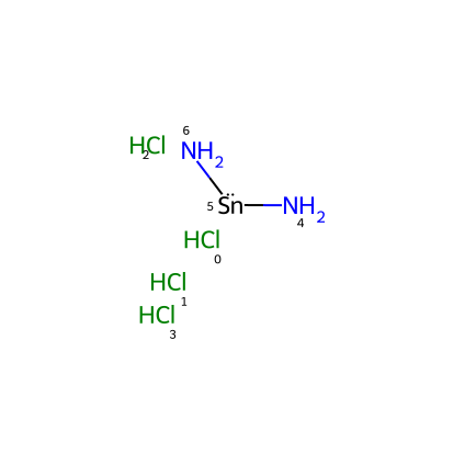 Cl.Cl.Cl.Cl.[NH2][Sn][NH2]